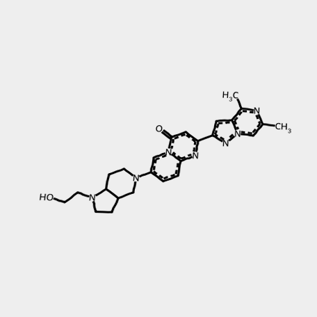 Cc1cn2nc(-c3cc(=O)n4cc(N5CCC6C(CCN6CCO)C5)ccc4n3)cc2c(C)n1